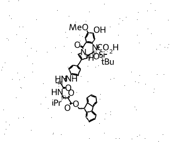 COc1cc2c(cc1O)N(C(=O)O)[C@@H](O[Si](C)(C)C(C)(C)C)[C@@H]1CC(c3ccc(NN[C@H](C)C(=O)N[C@H](C(=O)C(=O)OCC4c5ccccc5-c5ccccc54)C(C)C)cc3)=CN1C2=O